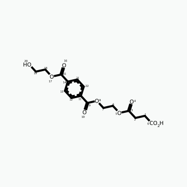 O=C(O)CCC(=O)OCCOC(=O)c1ccc(C(=O)OCCO)cc1